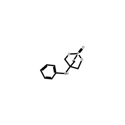 O=P12OCC(Nc3ccccc3)(CO1)CO2